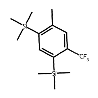 Cc1cc(C(F)(F)F)c([Si](C)(C)C)cc1[Si](C)(C)C